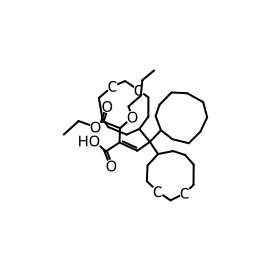 CCCCOC(C(=O)OCC)C(=CC(C1CCCCCCCCC1)(C1CCCCCCCCC1)C1CCCCCCCCC1)C(=O)O